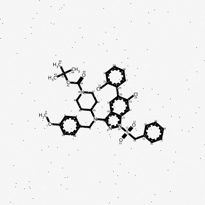 COc1ccc(CN(c2nn(S(=O)(=O)Cc3ccccc3)c3cc(Cl)c(-c4ccccc4Cl)cc23)C2CCN(C(=O)OC(C)(C)C)CC2)cc1